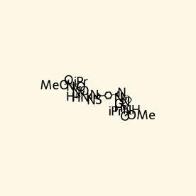 COC(=O)N[C@H](C(=O)N1CCC[C@H]1C(=O)Nc1cn2cc(-c3ccc(-c4cnc([C@@H]5CCCN5C(=O)[C@@H](NC(=O)OC)C(C)C)[nH]4)cc3)sc2n1)C(C)C